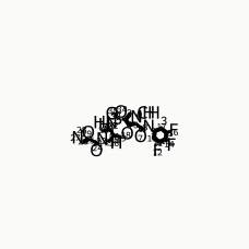 Cn1cc2c(c1C(=O)Nc1cc(F)c(F)c(F)c1)OC[C@H]1CN(C(=O)c3cnco3)C[C@H]1NS2(=O)=O